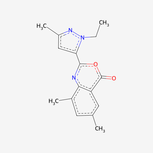 CCn1nc(C)cc1-c1nc2c(C)cc(C)cc2c(=O)o1